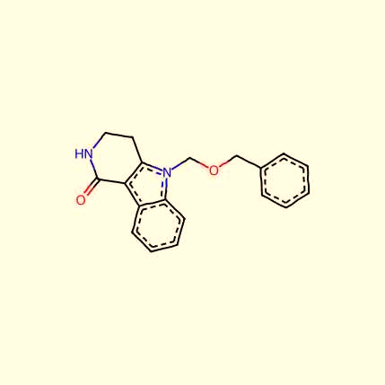 O=C1NCCc2c1c1ccccc1n2COCc1ccccc1